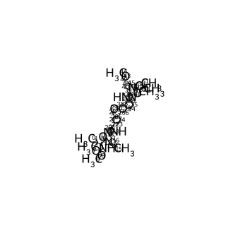 CCC(C)C(NC(=O)OC)C(=O)N1C[C@@H](C)C[C@H]1c1ncc(-c2ccc3c(c2)COc2cc4c(ccc5nc([C@@H]6C[C@H](COC)CN6C(=O)OC(C)(C)C)[nH]c54)cc2-3)[nH]1